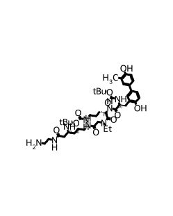 CCN(CC(=O)NCCC[C@H](N)CC(=O)NCCN)C(=O)[C@H](CCCNC(=O)OC(C)(C)C)NC(=O)[C@H](Cc1cc(-c2ccc(O)c(C)c2)ccc1O)NC(=O)OC(C)(C)C